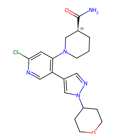 NC(=O)[C@H]1CCCN(c2cc(Cl)ncc2-c2cnn(C3CCOCC3)c2)C1